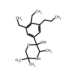 CCCc1cc(C2(O)OCC(C)(C)NC2C)cc(CC)c1CC